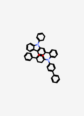 c1c(-c2ccccc2N(C2=CC=C(c3ccccc3)CC2)c2ccc(-c3ccccc3)cc2)cc2c(c#1)c1ccccc1n2C1=CC=CCC1